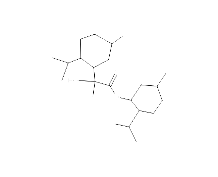 CC1CCC(C(C)C)C(OC(=O)C(C)(O)C2CC(C)CCC2C(C)C)C1